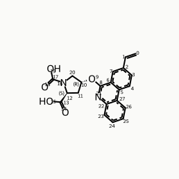 C=Cc1ccc2c(c1)c(O[C@@H]1C[C@@H](C(=O)O)N(C(=O)O)C1)nc1ccccc12